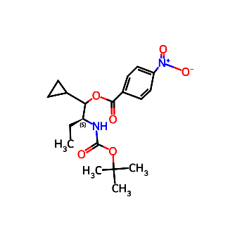 CC[C@H](NC(=O)OC(C)(C)C)C(OC(=O)c1ccc([N+](=O)[O-])cc1)C1CC1